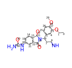 CCOc1cc(C(CC=N)N2C(=O)c3ccc(NC(N)=O)cc3C2=O)ccc1OC